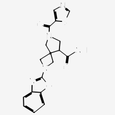 NC(=O)C1CN(C(=O)c2cncs2)CC12CN(c1nc3ccccc3o1)C2